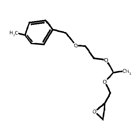 Cc1ccc(COCCOC(C)OCC2CO2)cc1